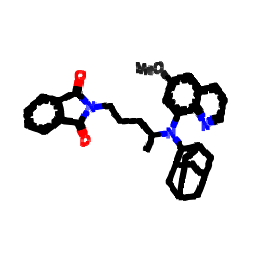 COc1cc(N(C(C)CCCN2C(=O)c3ccccc3C2=O)C2C3CC4CC(C3)CC2C4)c2ncccc2c1